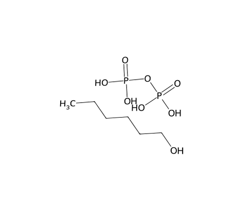 CCCCCCO.O=P(O)(O)OP(=O)(O)O